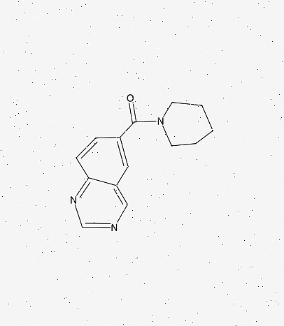 O=C(c1ccc2ncncc2c1)N1CCCCC1